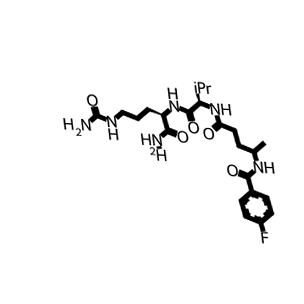 [2H]NC(=O)[C@@H](CCCNC(N)=O)NC(=O)[C@H](NC(=O)CCC(C)NC(=O)c1ccc(F)cc1)C(C)C